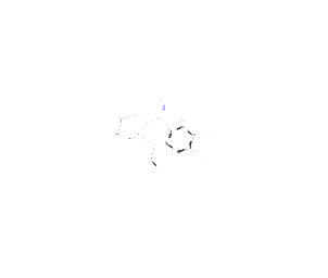 C=CCN1CCCC[C@@H]1[C@H](N)c1ccc(Cl)c(Cl)c1